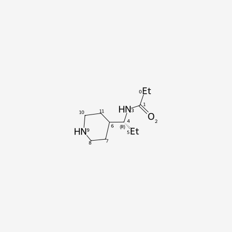 CCC(=O)N[C@H](CC)C1CCNCC1